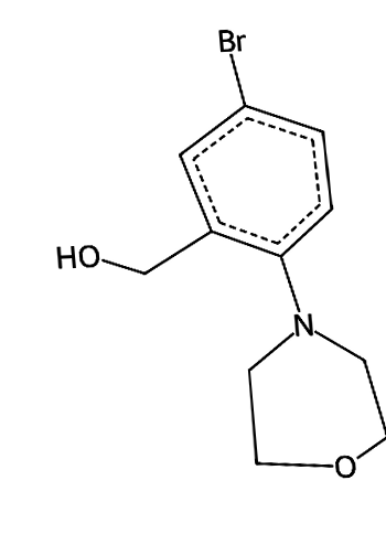 OCc1cc(Br)ccc1N1CCOCC1